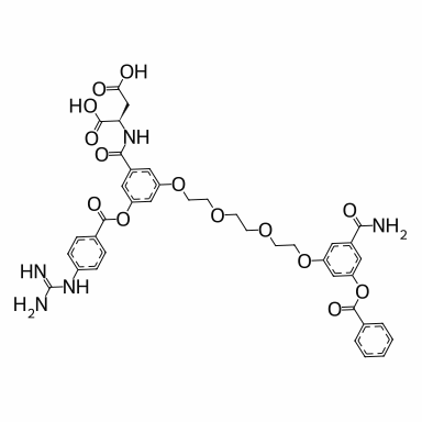 N=C(N)Nc1ccc(C(=O)Oc2cc(OCCOCCOCCOc3cc(OC(=O)c4ccccc4)cc(C(N)=O)c3)cc(C(=O)N[C@H](CC(=O)O)C(=O)O)c2)cc1